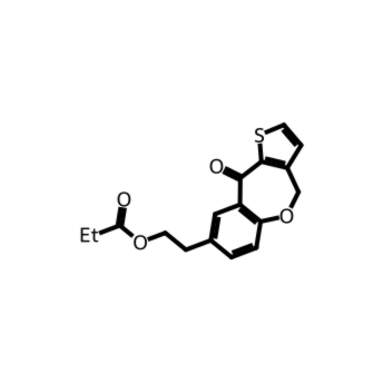 CCC(=O)OCCc1ccc2c(c1)C(=O)c1sccc1CO2